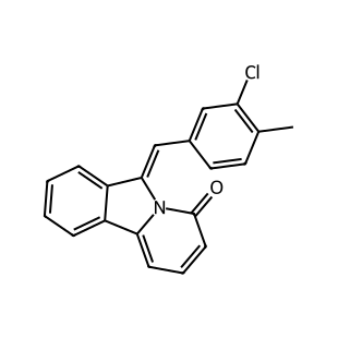 Cc1ccc(C=c2c3ccccc3c3cccc(=O)n23)cc1Cl